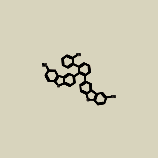 N#Cc1ccc2oc3ccc(-c4cccc(-c5ccccc5C#N)c4-c4ccc5oc6ccc(C#N)cc6c5c4)cc3c2c1